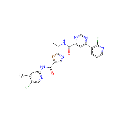 CC(NC(=O)c1cc(-c2cccnc2F)ncn1)c1ncc(C(=O)Nc2cc(C(F)(F)F)c(Cl)cn2)s1